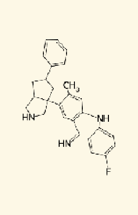 Cc1cc(Nc2ccc(F)cc2)c(C=N)cc1C12CNCC1CC(c1ccccc1)C2